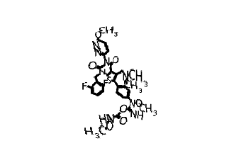 CONC(=O)OC(=N)N(OC)c1ccc(-c2sc3c(c2CN(C)C)c(=O)n(-c2ccc(OC)nn2)c(=O)n3Cc2c(F)cccc2F)cc1